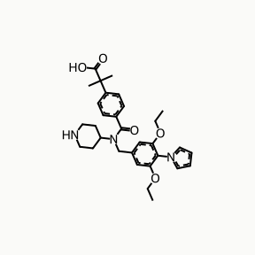 CCOc1cc(CN(C(=O)c2ccc(C(C)(C)C(=O)O)cc2)C2CCNCC2)cc(OCC)c1-n1cccc1